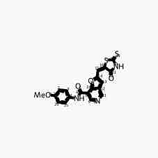 COc1ccc(NC(=O)c2cncc3cc(C=C4SC(=S)NC4=O)oc23)cc1